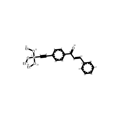 CCO[Si](C#Cc1ccc(C(=O)/C=C/c2ccccc2)cc1)(OCC)OCC